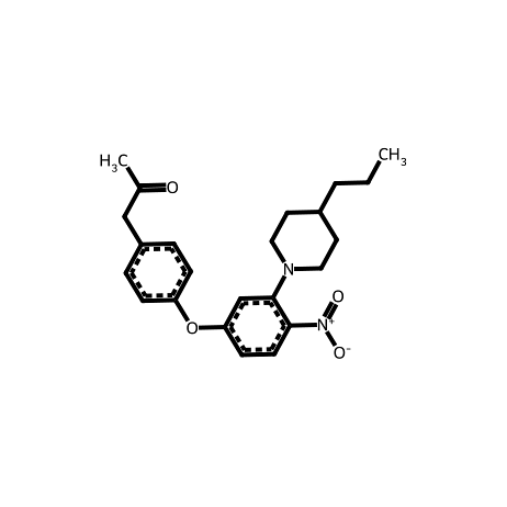 CCCC1CCN(c2cc(Oc3ccc(CC(C)=O)cc3)ccc2[N+](=O)[O-])CC1